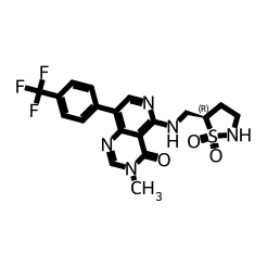 Cn1cnc2c(-c3ccc(C(F)(F)F)cc3)cnc(NC[C@H]3CCNS3(=O)=O)c2c1=O